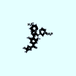 Cc1ccn2c(C[C@H]3CN(C(=O)O)CCO3)c(-c3c(F)cc(C(=O)N4CC(F)(F)C4)cc3F)nc2c1